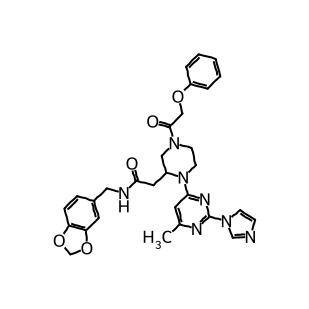 Cc1cc(N2CCN(C(=O)COc3ccccc3)CC2CC(=O)NCc2ccc3c(c2)OCO3)nc(-n2ccnc2)n1